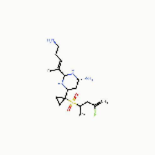 C=C(F)CC(CCC)S(=O)(=O)C1(C2C[C@@H](N)NC(/C(=C/CCN)CC)N2)CC1